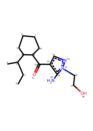 CCC(C)C1CCCCC1C(=O)c1cnn(CCO)c1N